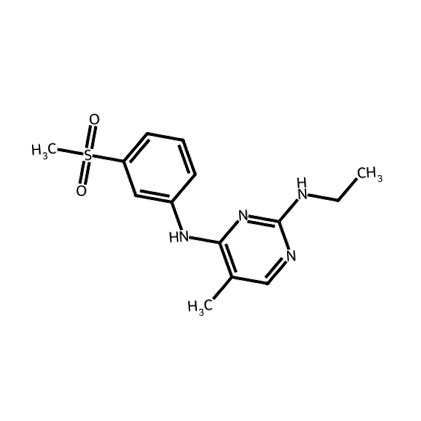 CCNc1ncc(C)c(Nc2cccc(S(C)(=O)=O)c2)n1